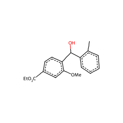 CCOC(=O)c1ccc(C(O)c2ccccc2C)c(OC)c1